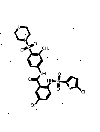 Cc1cc(NC(=O)c2cc(Br)ccc2NS(=O)(=O)c2ccc(Cl)s2)ccc1S(=O)(=O)N1CCOCC1